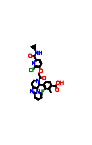 Cc1c(C(=O)O)ccc(C2c3c(nc4ccccn34)CCN2C(=O)COc2ccc(C(=O)NC3CC3)nc2Cl)c1F